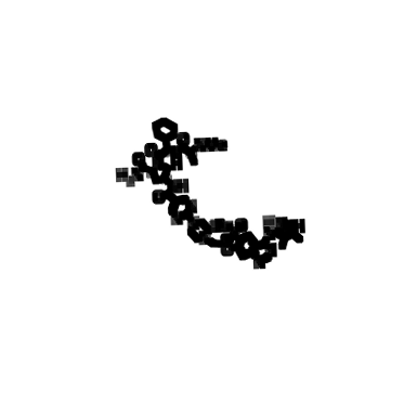 CN[C@@H](C)C(=O)N[C@H](C(=O)N1C[C@@H](NC(=O)c2cnc(N3CCN(CCOc4cc5ncnc(Nc6n[nH]c(C)c6C)c5cc4S(=O)(=O)C(C)(C)C)CC3)nc2)C[C@H]1C(N)=O)C1CCCCC1